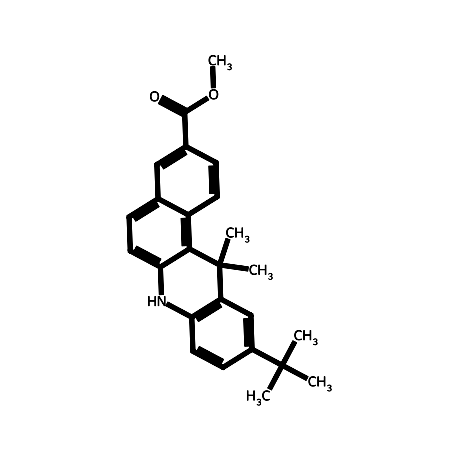 COC(=O)c1ccc2c3c(ccc2c1)Nc1ccc(C(C)(C)C)cc1C3(C)C